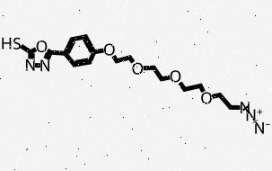 [N-]=[N+]=NCCOCCOCCOCCOc1ccc(-c2nnc(S)o2)cc1